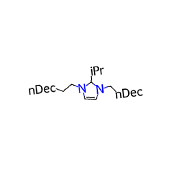 CCCCCCCCCCCCN1C=CN(CCCCCCCCCCC)C1C(C)C